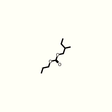 C[CH]COC(=O)OCC(C)CC